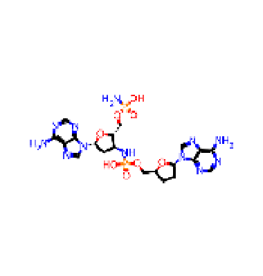 Nc1ncnc2c1ncn2[C@H]1CC[C@@H](COP(=O)(O)N[C@H]2C[C@H](n3cnc4c(N)ncnc43)O[C@@H]2COP(N)(=O)O)O1